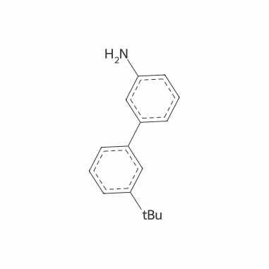 CC(C)(C)c1cccc(-c2cccc(N)c2)c1